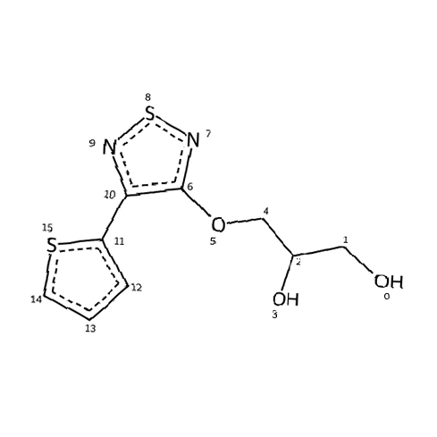 OCC(O)COc1nsnc1-c1cccs1